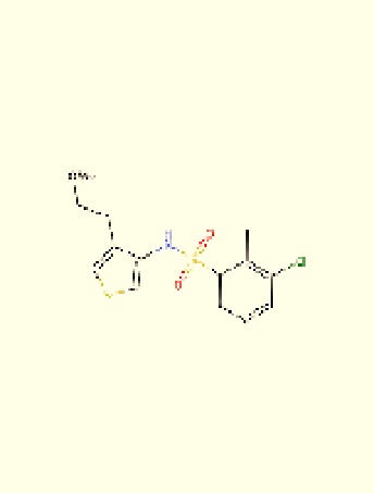 COCCc1cscc1NS(=O)(=O)c1cccc(Cl)c1C